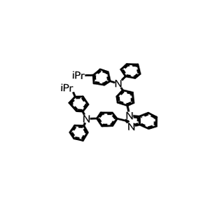 CC(C)c1ccc(N(c2ccccc2)c2ccc(-c3nc4ccccc4n3-c3ccc(N(c4ccccc4)c4ccc(C(C)C)cc4)cc3)cc2)cc1